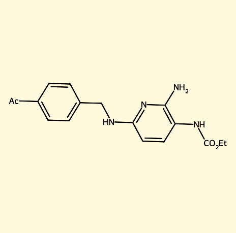 CCOC(=O)Nc1ccc(NCc2ccc(C(C)=O)cc2)nc1N